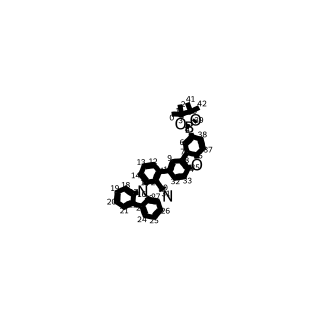 CC1(C)OB(C2=CC3c4cc(-c5cccc(-n6c7ccccc7c7ccccc76)c5C#N)ccc4OC3C=C2)OC1(C)C